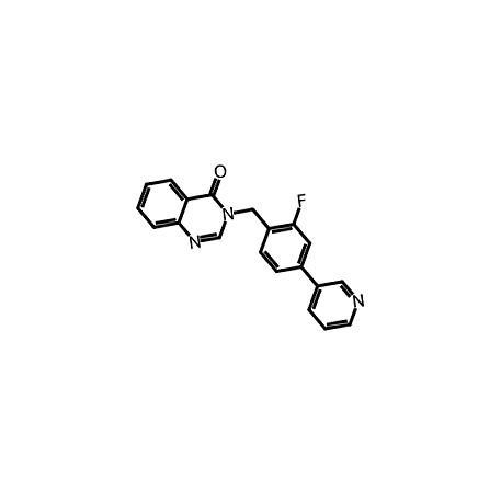 O=c1c2ccccc2ncn1Cc1ccc(-c2cccnc2)cc1F